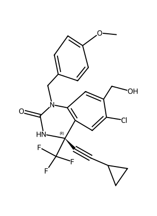 COc1ccc(CN2C(=O)N[C@@](C#CC3CC3)(C(F)(F)F)c3cc(Cl)c(CO)cc32)cc1